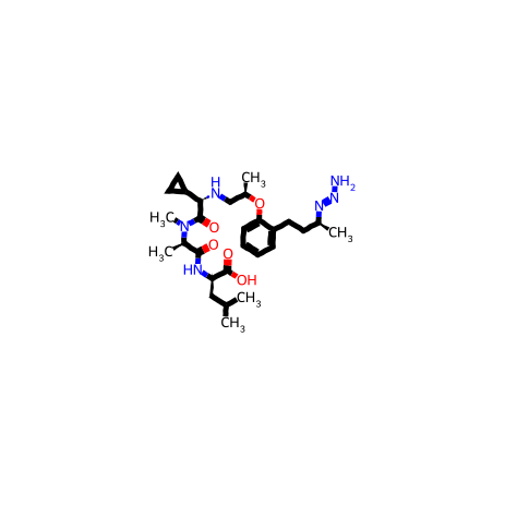 CC(C)C[C@@H](NC(=O)[C@@H](C)N(C)C(=O)[C@@H](NC[C@@H](C)Oc1ccccc1CC[C@H](C)N=NN)C1CC1)C(=O)O